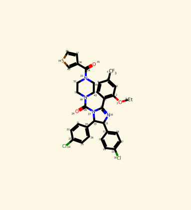 CCOc1cc(C(F)(F)F)ccc1C1=NC(c2ccc(Cl)cc2)C(c2ccc(Cl)cc2)N1C(=O)N1CCN(C(=O)c2ccsc2)CC1